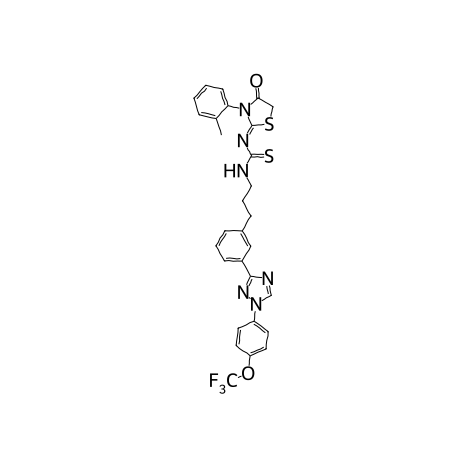 Cc1ccccc1N1C(=O)CS/C1=N\C(=S)NCCCc1cccc(-c2ncn(-c3ccc(OC(F)(F)F)cc3)n2)c1